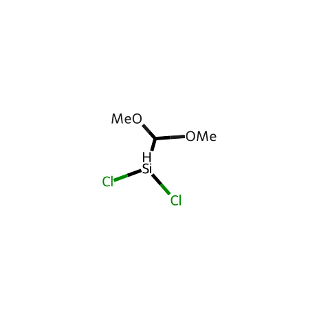 COC(OC)[SiH](Cl)Cl